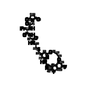 CC(C)C(NC(=O)CN1C(=O)C=CC1=O)C(=O)NCC(=O)NCCSCc1cc2nc(c1)OCCCOc1cc(F)ccc1-c1cc(ncc1F)N2